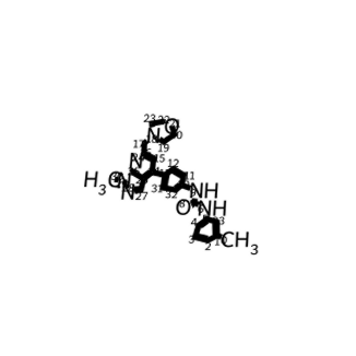 Cc1cccc(NC(=O)Nc2ccc(-c3cc(CN4CCOCC4)nc4c3cnn4C)cc2)c1